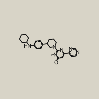 Cn1c(N2CCCC(c3ccc(NC4CCCCC4)cc3)C2)nc(-c2ccncn2)cc1=O